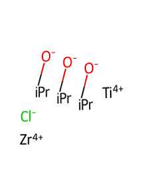 CC(C)[O-].CC(C)[O-].CC(C)[O-].[Cl-].[Ti+4].[Zr+4]